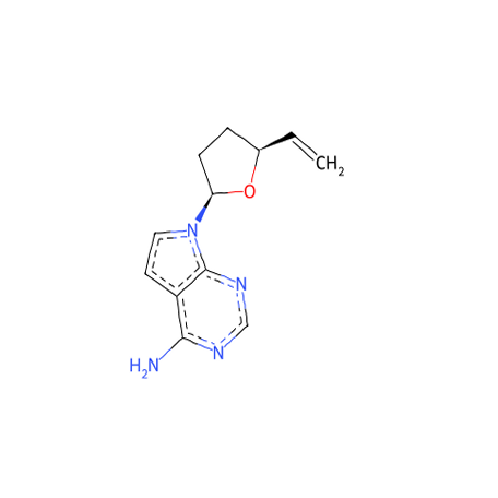 C=C[C@@H]1CC[C@H](n2ccc3c(N)ncnc32)O1